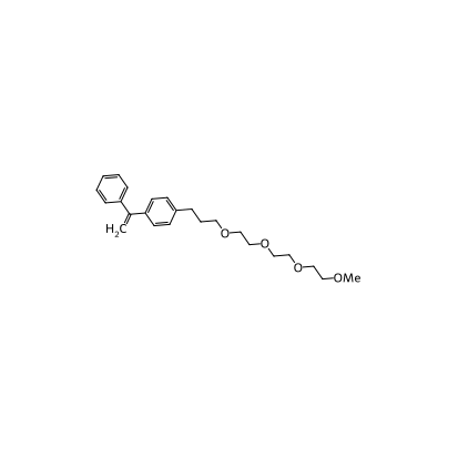 C=C(c1ccccc1)c1ccc(CCCOCCOCCOCCOC)cc1